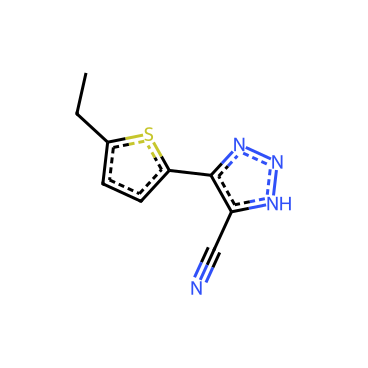 CCc1ccc(-c2nn[nH]c2C#N)s1